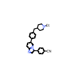 CCN1CCC(Cc2ccc(-c3ccc4ncc(-c5ccc(C#N)cc5)n4c3)cc2)CC1